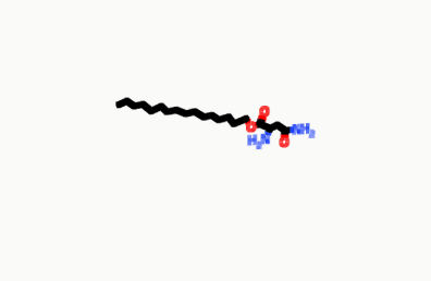 CCCCCCCCCCCCCCCCOC(=O)C(N)CC(N)=O